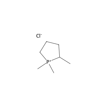 CC1CCC[P+]1(C)C.[Cl-]